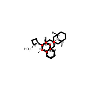 C[C@@H]1C[C@@H]2C[C@H](C1)C[C@@H](N1[C@@H]3CCC[C@H]1C[C@@H](n1c(=O)c(N4CC[C@H]4C(=O)O)nc4ccccc41)C3)C2